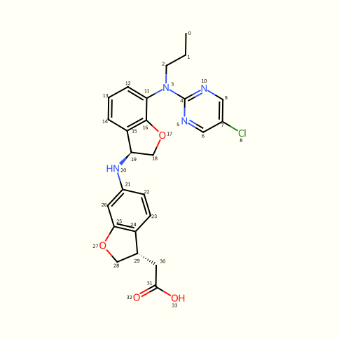 CCCN(c1ncc(Cl)cn1)c1cccc2c1OC[C@H]2Nc1ccc2c(c1)OC[C@H]2CC(=O)O